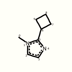 Cn1ccnc1C1CCC1